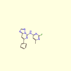 Cc1cc(Nc2nc(-c3ccccc3)cc3ncnn23)nc(F)n1